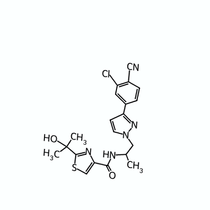 CC(Cn1ccc(-c2ccc(C#N)c(Cl)c2)n1)NC(=O)c1csc(C(C)(C)O)n1